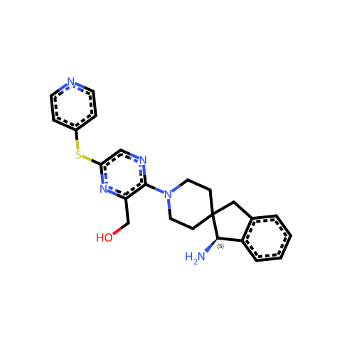 N[C@@H]1c2ccccc2CC12CCN(c1ncc(Sc3ccncc3)nc1CO)CC2